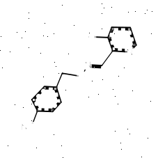 N#Cc1ccc(CON=Cc2ncccc2O)cc1